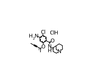 CC#C[C@H](C)Oc1cc(N)c(Cl)cc1C(=O)N[C@H]1CCN2CCCC1C2.Cl